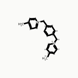 Cc1cc[n+](Cc2ccc(C[n+]3ccc(C)cc3)cc2)cc1